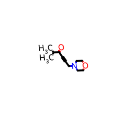 CC(C)C(=O)C#CCN1CCOCC1